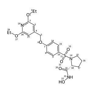 CCOc1cc(COc2ccc(S(=O)(=O)N3CCC[C@@H]3C(=O)NO)cc2)cc(OCC)n1